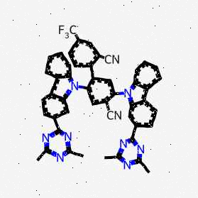 Cc1nc(C)nc(-c2ccc3c4ccccc4n(-c4cc(-c5ccc(C(F)(F)F)cc5C#N)c(-n5c6ccccc6c6ccc(-c7nc(C)nc(C)n7)cc65)cc4C#N)c3c2)n1